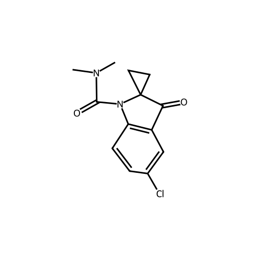 CN(C)C(=O)N1c2ccc(Cl)cc2C(=O)C12CC2